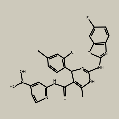 CC1=C(C(=O)Nc2cc(N(O)O)ccn2)C(c2ccc(C)cc2Cl)N=C(Nc2nc3ccc(F)cc3o2)N1